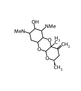 C=C1C[C@@H](C)OC2OC3CC(NC)C(O)C(NC)C3OC12C